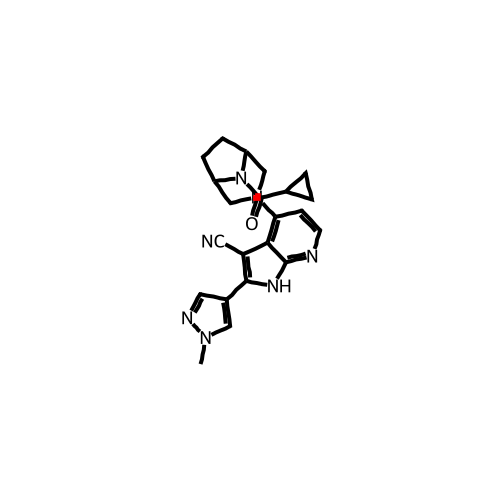 Cn1cc(-c2[nH]c3nccc(N4CC5CCC(C4)N5C(=O)C4CC4)c3c2C#N)cn1